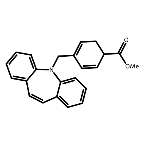 COC(=O)C1C=CC(CN2c3ccccc3C=Cc3ccccc32)=CC1